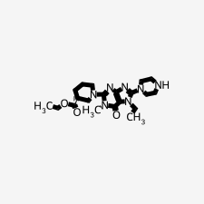 CCOC(=O)[C@@H]1CCCN(c2nc3nc(N4CCNCC4)n(CC)c3c(=O)n2C)C1